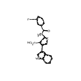 O=C(Nc1scc(-c2c[nH]c3ccccc23)c1C(=O)O)c1cccc(F)c1